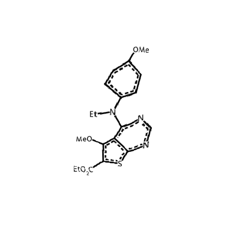 CCOC(=O)c1sc2ncnc(N(CC)c3ccc(OC)cc3)c2c1OC